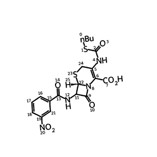 CCCCSC(=O)NC1=C(C(=O)O)N2C(=O)C(NC(=O)c3cccc([N+](=O)[O-])c3)[C@@H]2SC1